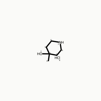 CC1(O)CCNCC1.Cl